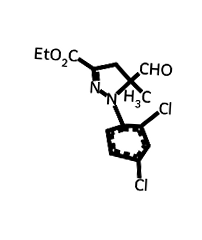 CCOC(=O)C1=NN(c2ccc(Cl)cc2Cl)C(C)(C=O)C1